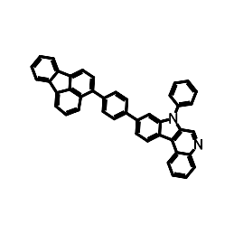 c1ccc(-n2c3cc(-c4ccc(-c5ccc6c7c(cccc57)-c5ccccc5-6)cc4)ccc3c3c4ccccc4ncc32)cc1